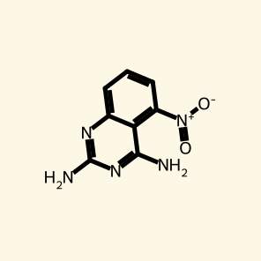 Nc1nc(N)c2c([N+](=O)[O-])cccc2n1